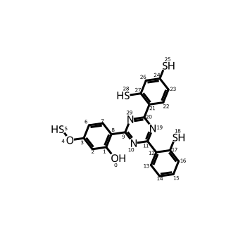 Oc1cc(OS)ccc1-c1nc(-c2ccccc2S)nc(-c2ccc(S)cc2S)n1